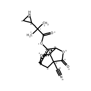 CC(C)(C(=O)Oc1c2oc3c1OC(=O)C3(C#N)C2)C1CN1